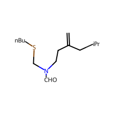 C=C(CCN(C=O)CSCCCC)CC(C)C